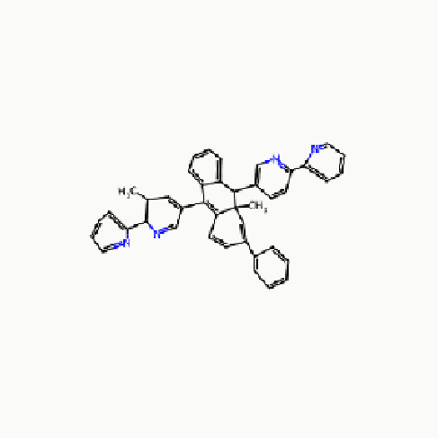 CC1C=C(C2=C3C=CC(c4ccccc4)=CC3(C)C(c3ccc(-c4ccccn4)nc3)c3ccccc32)C=NC1c1ccccn1